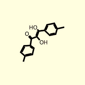 Cc1ccc(C(=O)C(O)=C(O)c2ccc(C)cc2)cc1